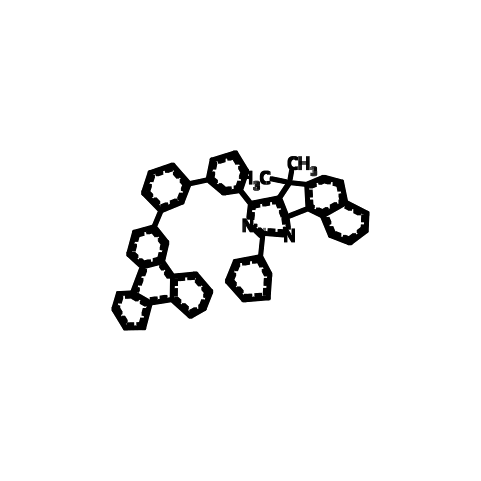 CC1(C)c2ccc3ccccc3c2-c2nc(-c3ccccc3)nc(-c3cccc(-c4cccc(-c5ccc6c7ccccc7c7ccccc7c6c5)c4)c3)c21